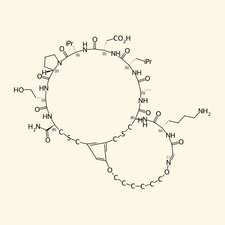 CC(C)C[C@@H]1NC(=O)[C@H](C)NC(=O)[C@@H]2CSCc3cc(cc(c3)OCCCCCCO/N=C/C(=O)N[C@@H](CCCCN)C(=O)N2)CSC[C@@H](C(N)=O)NC(=O)[C@H](CCO)NC(=O)[C@@H]2CCCN2C(=O)[C@H](C(C)C)NC(=O)[C@H](CC(=O)O)NC1=O